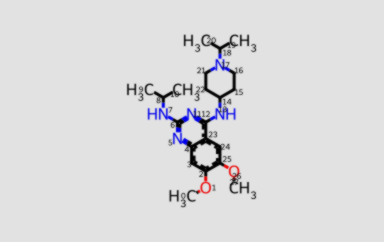 COc1cc2nc(NC(C)C)nc(NC3CCN(C(C)C)CC3)c2cc1OC